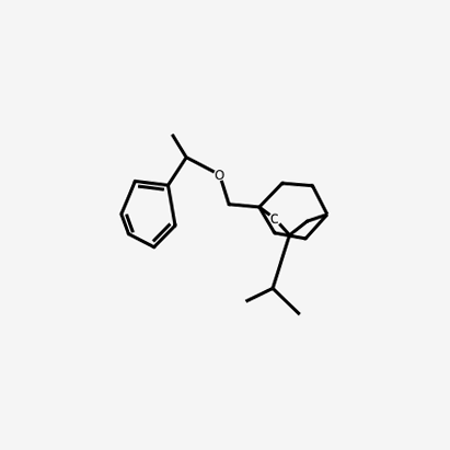 CC(OCC12CCC(CC1)CC(C(C)C)C2)c1ccccc1